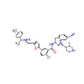 Cc1ccc(C(C)NCc2ccc(-c3ccc(Cl)c(C(=O)NC(CNC4CCNCC4F)Cc4ccc(C#N)cc4)c3)o2)cc1